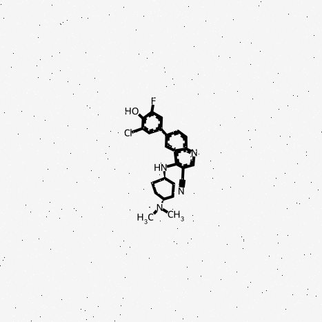 CN(C)[C@H]1CC[C@H](Nc2c(C#N)cnc3ccc(-c4cc(F)c(O)c(Cl)c4)cc23)CC1